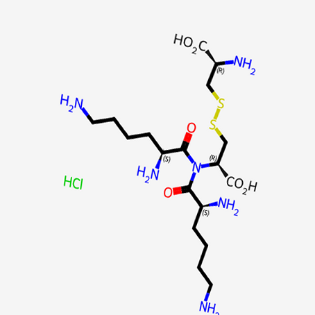 Cl.NCCCC[C@H](N)C(=O)N(C(=O)[C@@H](N)CCCCN)[C@@H](CSSC[C@H](N)C(=O)O)C(=O)O